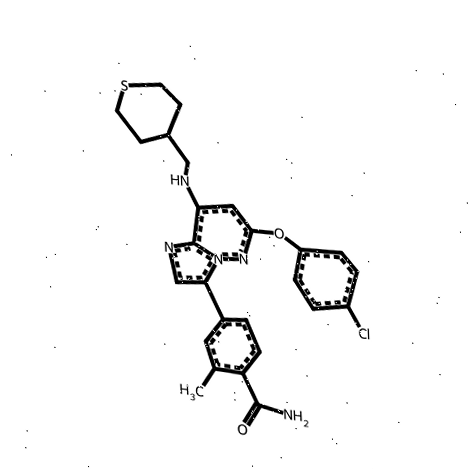 Cc1cc(-c2cnc3c(NCC4CCSCC4)cc(Oc4ccc(Cl)cc4)nn23)ccc1C(N)=O